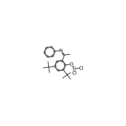 CC(=Nc1ccccc1)c1cc(C(C)(C)C)cc(C(C)(C)C)c1[O][Ti]([Cl])[Cl]